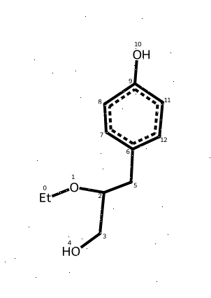 CCOC(CO)Cc1ccc(O)cc1